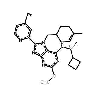 CC1=CCC(Cn2c(-c3cc(C(C)C)ccn3)nc3nc(OC=O)nc(N[C@H](C)C4CCC4)c32)CC1